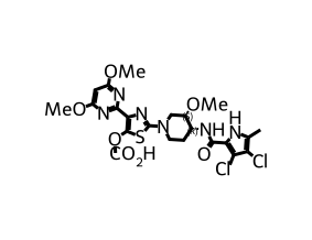 COc1cc(OC)nc(-c2nc(N3CC[C@@H](NC(=O)c4[nH]c(C)c(Cl)c4Cl)[C@@H](OC)C3)sc2OC(=O)O)n1